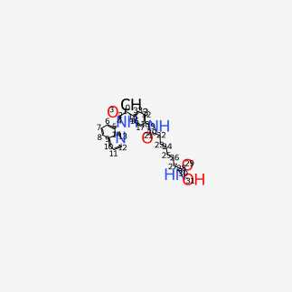 CC(C(=O)Nc1cccc2cccnc12)c1ccc(NC(=O)CCCCCCC(=O)NO)cc1